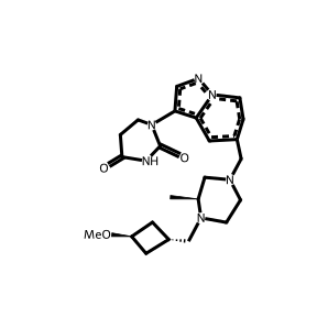 CO[C@H]1C[C@H](CN2CCN(Cc3ccn4ncc(N5CCC(=O)NC5=O)c4c3)C[C@@H]2C)C1